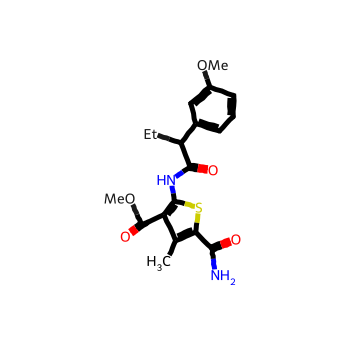 CCC(C(=O)Nc1sc(C(N)=O)c(C)c1C(=O)OC)c1cccc(OC)c1